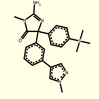 CN1C(=O)C(c2ccc([Si](C)(C)C)cc2)(c2cccc(-c3cnn(C)c3)c2)N=C1N